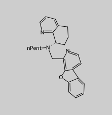 CCCCCN(Cc1nccc2c1oc1ccccc12)[C@H]1CCCc2cccnc21